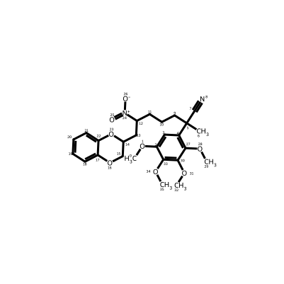 COc1cc(C(C)(C#N)CCCC(CC2COc3ccccc3O2)[N+](=O)[O-])c(OC)c(OC)c1OC